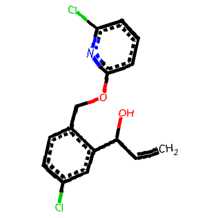 C=CC(O)c1cc(Cl)ccc1COc1cccc(Cl)n1